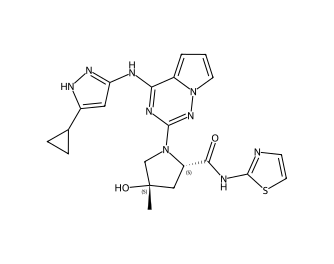 C[C@]1(O)C[C@@H](C(=O)Nc2nccs2)N(c2nc(Nc3cc(C4CC4)[nH]n3)c3cccn3n2)C1